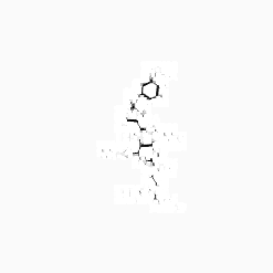 COc1nc(NCCN(C)C)nc(OC)c1NC(=O)c1csc(Oc2cccc(C(C)(C)C)c2)n1